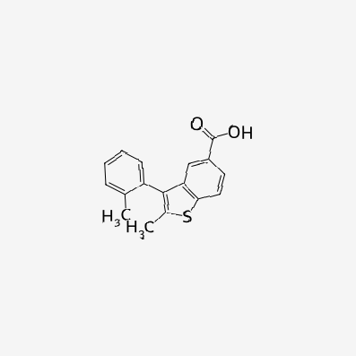 Cc1ccccc1-c1c(C)sc2ccc(C(=O)O)cc12